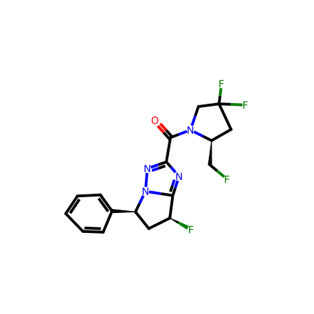 O=C(c1nc2n(n1)[C@H](c1ccccc1)C[C@@H]2F)N1CC(F)(F)C[C@H]1CF